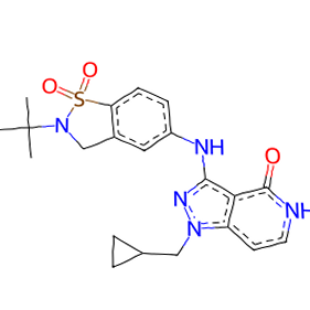 CC(C)(C)N1Cc2cc(Nc3nn(CC4CC4)c4cc[nH]c(=O)c34)ccc2S1(=O)=O